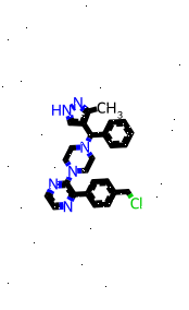 Cc1n[nH]cc1C(c1ccccc1)N1CCN(c2nccnc2-c2ccc(CCl)cc2)CC1